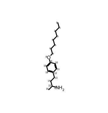 CCCCCCCCOc1ccc(CCC(C)N)cc1